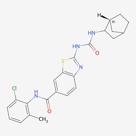 Cc1cccc(Cl)c1NC(=O)c1ccc2nc(NC(=O)NC3CC4CC[C@@H]3C4)sc2c1